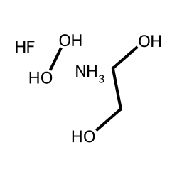 F.N.OCCO.OO